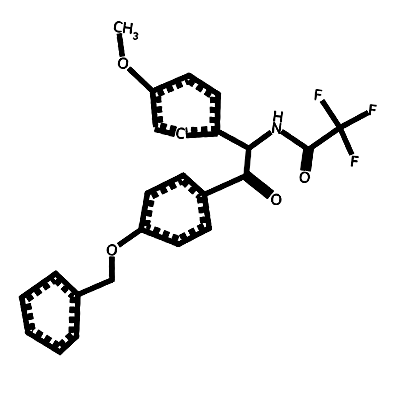 COc1ccc(C(NC(=O)C(F)(F)F)C(=O)c2ccc(OCc3ccccc3)cc2)cc1